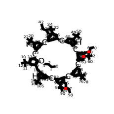 CCCCOc1c2cc(C(C)(C)C)cc1Cc1cc(C(C)(C)C)cc(c1O)Cc1cc(C(C)(C)C)cc(c1OCCCC)Cc1cc(C(C)(C)C)cc(c1O)Cc1cc(C(C)(C)C)cc(c1OCCCC)Cc1cc(C(C)(C)C)cc(c1O)Cc1cc(C(C)(C)C)cc(c1OCCCC)Cc1cc(C(C)(C)C)cc(c1O)C2